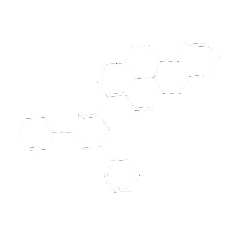 C1=CC2=CC3C=CC4=C(c5nc(-c6ccccc6)nc(-c6ccccc6)n5)C=CC5=CC=C(C2N=C1)C3C54